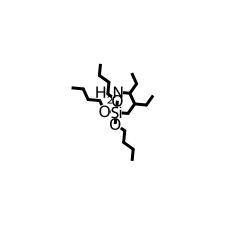 CCCCO[Si](CC(CC)C(N)CC)(OCCCC)OCCCC